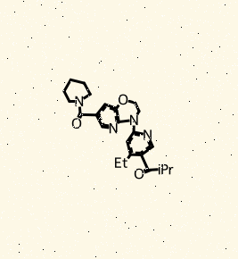 CCc1cc(N2CCOc3cc(C(=O)N4CCCCC4)cnc32)ncc1C(=O)C(C)C